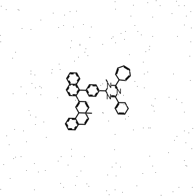 CN1C(C2C=CC=CC=C2)=NC(C2=CC=CCC2)=NC1c1ccc(-c2c(C3=CC4c5ccccc5C=CC4(C)C=C3)ccc3ccccc23)cc1